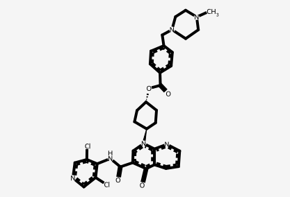 CN1CCN(Cc2ccc(C(=O)O[C@H]3CC[C@H](n4cc(C(=O)Nc5c(Cl)cncc5Cl)c(=O)c5cccnc54)CC3)cc2)CC1